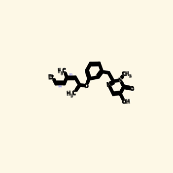 CC/C=C\C(=C/C(C)Oc1cccc(Cc2ncc(O)c(=O)n2C)c1)C(F)(F)F